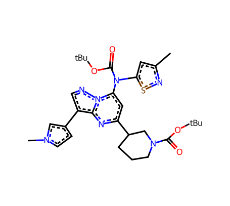 Cc1cc(N(C(=O)OC(C)(C)C)c2cc(C3CCCN(C(=O)OC(C)(C)C)C3)nc3c(-c4ccn(C)c4)cnn23)sn1